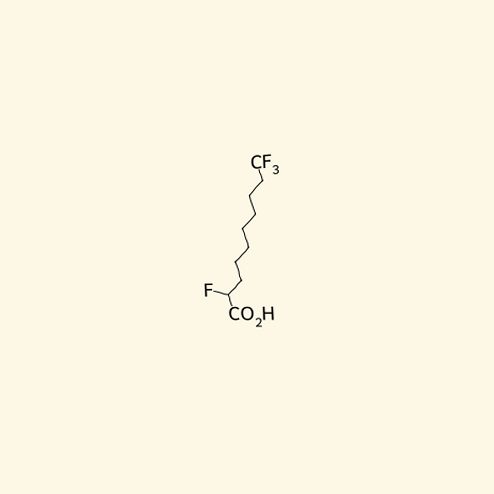 O=C(O)C(F)CCCCCCCC(F)(F)F